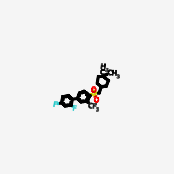 CC1(C)CCC(CS(=O)(=O)c2ccc(-c3ccc(F)cc3F)cc2C(F)(F)F)CC1